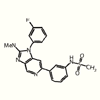 CNc1nc2cnc(-c3cccc(NS(C)(=O)=O)c3)cc2n1-c1cccc(F)c1